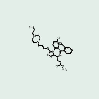 COC(=O)CC[C@@H]1N=C(c2ccccc2Cl)c2cc(Cl)ccc2-n2c(SCCCN3CCN(CCO)CC3)nnc21